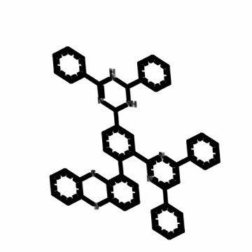 c1ccc(C2=NC(c3ccc(-c4cccc5c4Sc4ccccc4S5)c(-c4nc(-c5ccccc5)cc(-c5ccccc5)n4)c3)NC(c3ccccc3)N2)cc1